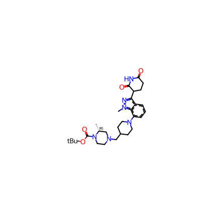 C[C@@H]1CN(CC2CCN(c3cccc4c(C5CCC(=O)NC5=O)nn(C)c34)CC2)CCN1C(=O)OC(C)(C)C